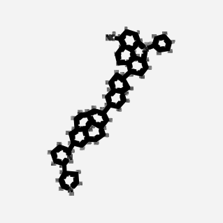 N#Cc1ccc2c3c1ccc1c(-c4ccc5cc(-c6cc7ccc8cc(-c9cccc(-c%10ccncc%10)n9)cc9ccc(c6)c7c89)ccc5c4)ccc(c13)n2-c1ccccc1